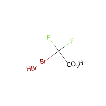 Br.O=C(O)C(F)(F)Br